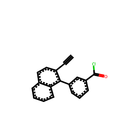 C#Cc1ccc2ccccc2c1-c1cccc(C(=O)Cl)c1